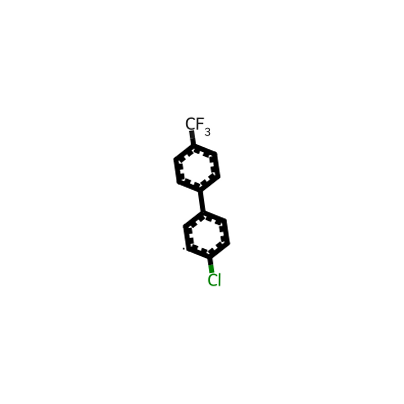 FC(F)(F)c1ccc(-c2c[c]c(Cl)cc2)cc1